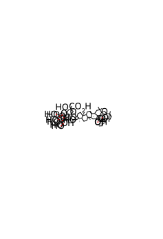 C/C=C(/C)C(=O)O[C@H]1[C@H](OC(=O)/C(C)=C\C)[C@@]2(CO)C(CC1(C)C)C1=CCC3[C@@]4(C)CC[C@H](O[C@@H]5OC(C(=O)O)[C@@H](O)[C@@H](O[C@@H]6O[C@@H](CO)C(O)[C@@H]6O)C5O[C@@H]5OC(CO)[C@@H](O)[C@@H](O)C5O)[C@](C)(CO)C4CC[C@@]3(C)[C@]1(C)C[C@H]2O